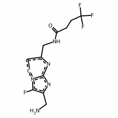 NCc1nc2nc(CNC(=O)CCC(F)(F)F)ccn2c1F